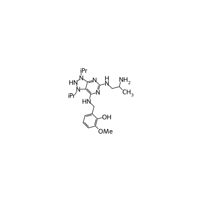 COc1cccc(CNc2nc(NCC(C)N)nc3c2N(C(C)C)NN3C(C)C)c1O